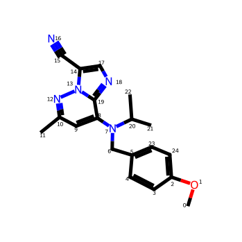 COc1ccc(CN(c2cc(C)nn3c(C#N)cnc23)C(C)C)cc1